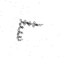 [Ba+2].[K+].[O]=[Nb](=[O])[O-].[O]=[Nb](=[O])[O-].[O]=[Nb](=[O])[O-].[O]=[Nb](=[O])[O-].[O]=[Nb](=[O])[O-].[O]=[Nb](=[O])[O-].[O]=[Nb](=[O])[O-].[Ti+4]